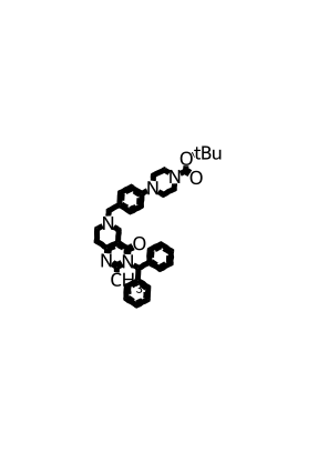 Cc1nc2c(c(=O)n1C(c1ccccc1)c1ccccc1)CN(Cc1ccc(N3CCN(C(=O)OC(C)(C)C)CC3)cc1)CC2